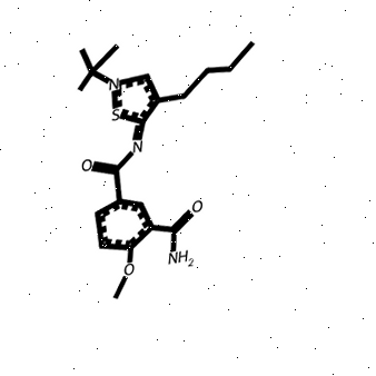 CCCCc1cn(C(C)(C)C)sc1=NC(=O)c1ccc(OC)c(C(N)=O)c1